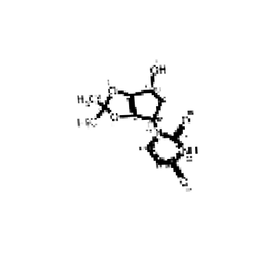 CC1(C)OC2=C(O1)[C@@H](O)C[C@H]2n1ccc(=O)[nH]c1=O